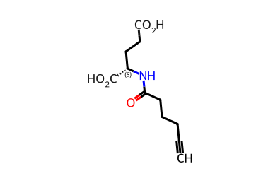 C#CCCCC(=O)N[C@@H](CCC(=O)O)C(=O)O